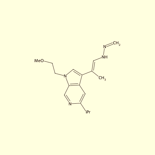 C=NN/C=C(\C)c1cn(CCOC)c2cnc(C(C)C)cc12